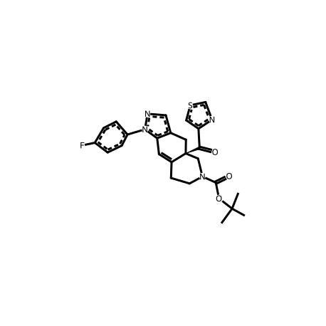 CC(C)(C)OC(=O)N1CCC2=Cc3c(cnn3-c3ccc(F)cc3)C[C@]2(C(=O)c2cscn2)C1